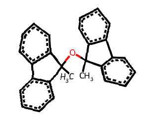 CC1(OC2(C)c3ccccc3-c3ccccc32)c2ccccc2-c2ccccc21